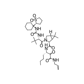 C=CCNC(=O)C(=O)[C@H](CCCC)NC(=O)[C@@H]1C2[C@H](CN1C(=O)[C@@H](NC(=O)NC1([C@@H]3CCCS3(=O)=O)CCCCC1)C(C)(C)C)C2(C)C